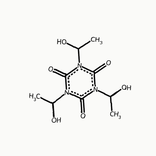 CC(O)n1c(=O)n(C(C)O)c(=O)n(C(C)O)c1=O